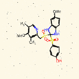 COc1ccc2c(c1)NC(S(=O)(=O)Cc1ncc(C)c(OC)c1C)(S(=O)(=O)c1ccc(O)cc1)N2